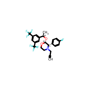 C#CCN1CCO[C@H](O[C@H](C)c2cc(C(F)(F)F)cc(C(F)(F)F)c2)[C@@H]1c1ccc(F)cc1